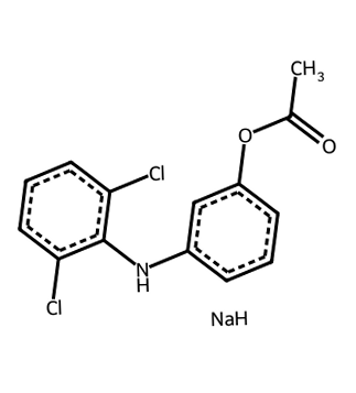 CC(=O)Oc1cccc(Nc2c(Cl)cccc2Cl)c1.[NaH]